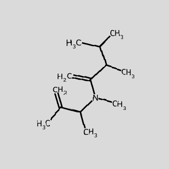 C=C(C)C(C)N(C)C(=C)C(C)C(C)C